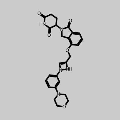 O=C1CCC(N2Cc3c(OCc4cn(-c5cccc(N6CCOCC6)c5)[nH]4)cccc3C2=O)C(=O)N1